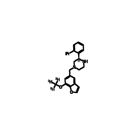 [2H]C([2H])([2H])Oc1cc(CN2CCN[C@H](c3ccccc3C(C)C)C2)cc2ccoc12